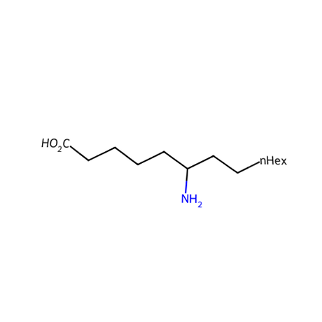 CCCCCCCCC(N)CCCCC(=O)O